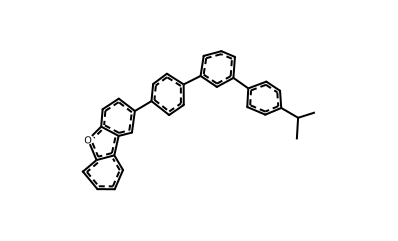 CC(C)c1ccc(-c2cccc(-c3ccc(-c4ccc5oc6ccccc6c5c4)cc3)c2)cc1